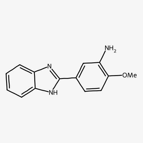 COc1ccc(-c2nc3ccccc3[nH]2)cc1N